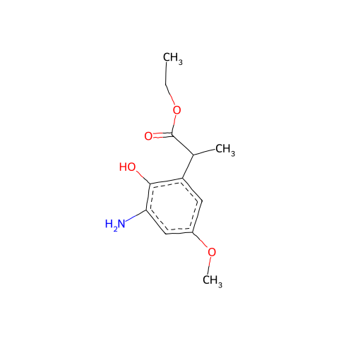 CCOC(=O)C(C)c1cc(OC)cc(N)c1O